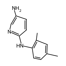 Cc1ccc(Nc2ccc(N)cn2)c(C)c1